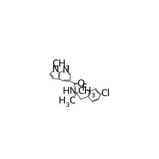 Cn1ccc2cc(C(=O)NC(C)(C)Cc3ccc(Cl)cc3F)cnc21